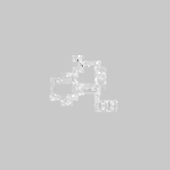 Oc1ccnc2c1CCC2